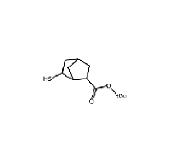 CC(C)(C)OC(=O)C1CC2CC(S)C1C2